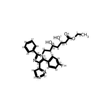 CCOC(=O)C[C@@H](O)C[C@@H](O)CCn1c(-c2ccccc2)nc(-c2ccncn2)c1-c1ccc(F)cc1